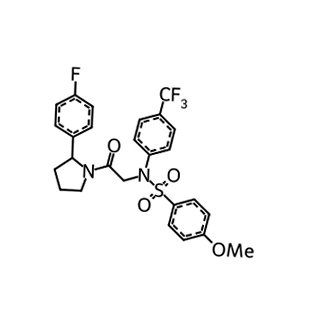 COc1ccc(S(=O)(=O)N(CC(=O)N2CCCC2c2ccc(F)cc2)c2ccc(C(F)(F)F)cc2)cc1